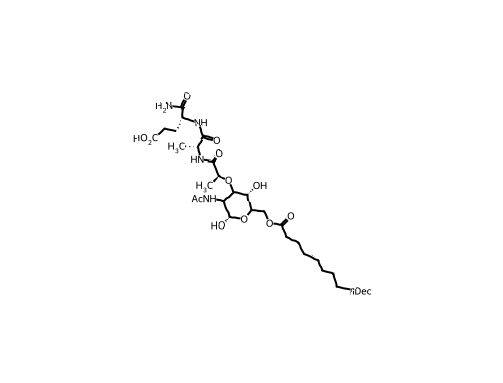 CCCCCCCCCCCCCCCCCC(=O)OCC1O[C@H](O)C(NC(C)=O)C(O[C@@H](C)C(=O)N[C@H](C)C(=O)N[C@H](CCC(=O)O)C(N)=O)[C@@H]1O